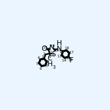 CC1(Cc2ccccc2)SC(Nc2ccc(F)cc2)=NC1=O